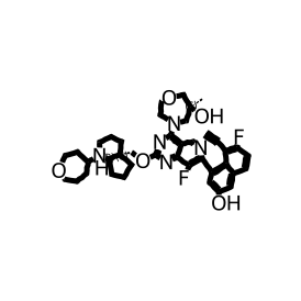 C#Cc1c(F)ccc2cc(O)cc(-c3ncc4c(N5CCOC[C@@](C)(O)C5)nc(OC[C@]56CCC[C@H]5N(C5CCCOCC5)CCC6)nc4c3F)c12